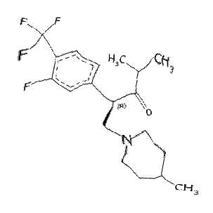 CC1CCN(C[C@H](C(=O)C(C)C)c2ccc(C(F)(F)F)c(F)c2)CC1